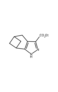 CCOC(=O)c1n[nH]c2c1CC1CC2C1